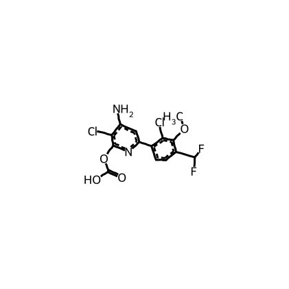 COc1c(C(F)F)ccc(-c2cc(N)c(Cl)c(OC(=O)O)n2)c1Cl